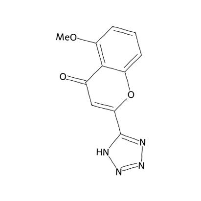 COc1cccc2oc(-c3nnn[nH]3)cc(=O)c12